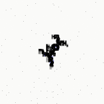 C=C(C#C/C(=C/C=C/CF)N/C(C)=N/CC)/C=C\C(=C/C)N(C)CCO